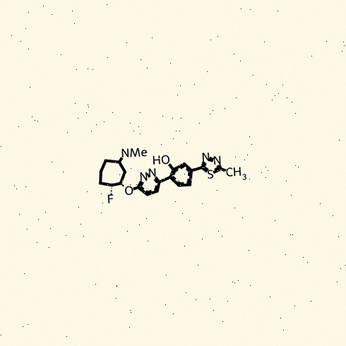 CNC1CCC[C@@H](F)[C@@H](Oc2ccc(-c3ccc(-c4nnc(C)s4)cc3O)nn2)C1